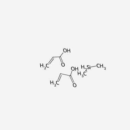 C=CC(=O)O.C=CC(=O)O.C[SiH2]C